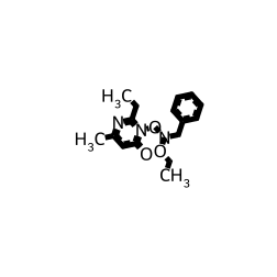 CCON(Cc1ccccc1)On1c(CC)nc(C)cc1=O